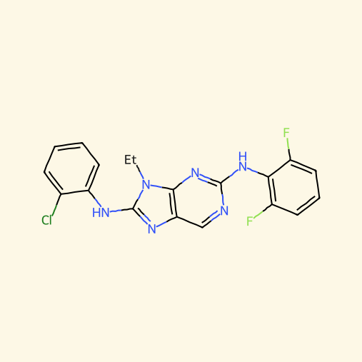 CCn1c(Nc2ccccc2Cl)nc2cnc(Nc3c(F)cccc3F)nc21